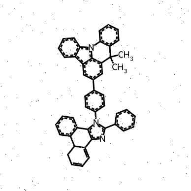 CC1(C)c2ccccc2-n2c3ccccc3c3cc(-c4ccc(-n5c(-c6ccccc6)nc6c5-c5ccccc5C5CC=CC=C65)cc4)cc1c32